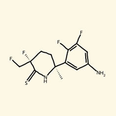 C[C@@]1(c2cc(N)cc(F)c2F)CC[C@](F)(CF)C(=S)N1